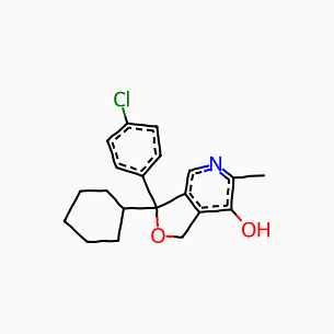 Cc1ncc2c(c1O)COC2(c1ccc(Cl)cc1)C1CCCCC1